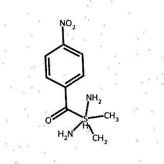 C[SH](C)(N)(N)C(=O)c1ccc([N+](=O)[O-])cc1